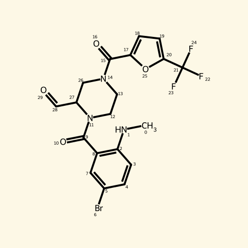 CNc1ccc(Br)cc1C(=O)N1CCN(C(=O)c2ccc(C(F)(F)F)o2)CC1C=O